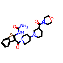 NC(=O)Nc1sc2ccccc2c1C(=O)N1CCC(N2CCCC(C(=O)N3CCOCC3)C2)CC1